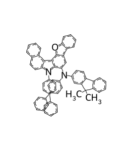 CC1(C)c2ccccc2-c2ccc(N(c3ccc(-c4ccccc4)cc3)c3cc4c5ccccc5oc4c4c5c6ccccc6ccc5n(-c5ccc(-c6ccccc6)cc5)c34)cc21